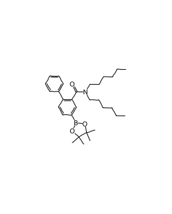 CCCCCCN(CCCCCC)C(=O)c1cc(B2OC(C)(C)C(C)(C)O2)ccc1-c1ccccc1